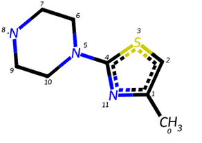 Cc1csc(N2CC[N]CC2)n1